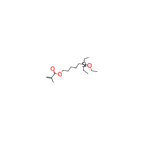 C=C(C)C(=O)OCCCCC[Si](CC)(CC)OCC